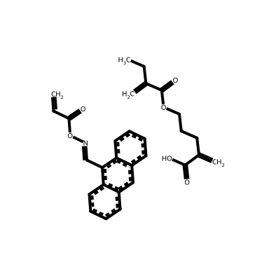 C=C(CCCOC(=O)C(=C)CC)C(=O)O.C=CC(=O)ON=Cc1c2ccccc2cc2ccccc12